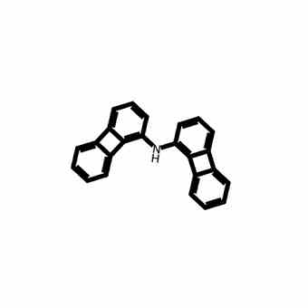 c1ccc2c(c1)-c1cccc(Nc3cccc4c3-c3ccccc3-4)c1-2